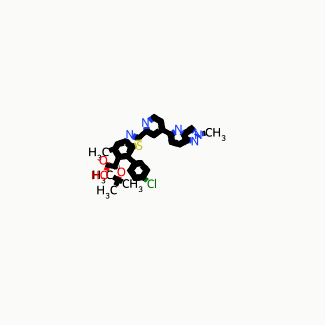 Cc1cc2nc(-c3cc(-c4ccc5nn(C)cc5n4)ccn3)sc2c(-c2ccc(Cl)cc2)c1[C@H](OC(C)(C)C)C(=O)O